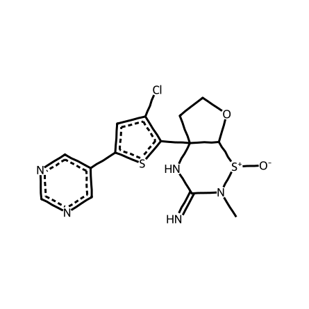 CN1C(=N)NC2(c3sc(-c4cncnc4)cc3Cl)CCOC2[S+]1[O-]